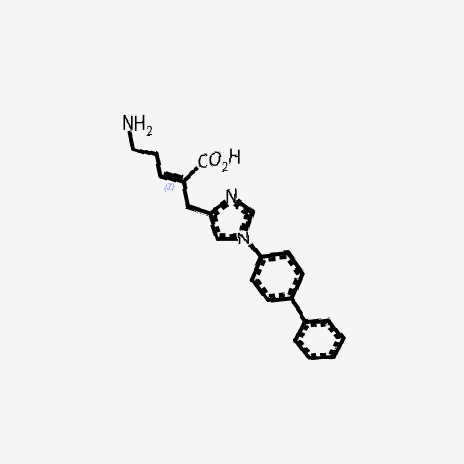 NCC/C=C(/Cc1cn(-c2ccc(-c3ccccc3)cc2)cn1)C(=O)O